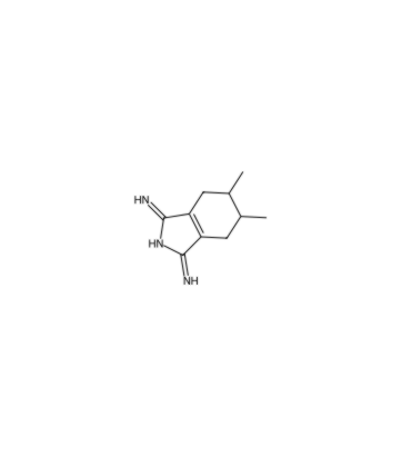 CC1CC2=C(CC1C)C(=N)NC2=N